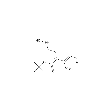 CC(C)(C)OC(=O)[C@H](CCNO)c1ccccc1